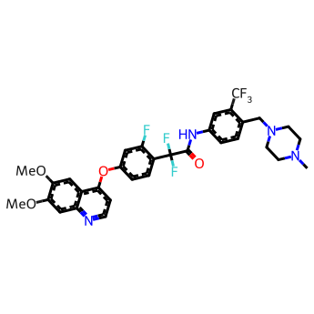 COc1cc2nccc(Oc3ccc(C(F)(F)C(=O)Nc4ccc(CN5CCN(C)CC5)c(C(F)(F)F)c4)c(F)c3)c2cc1OC